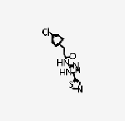 O=C(CCc1ccc(Cl)cc1)Nc1nnc(-c2cncs2)[nH]1